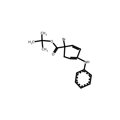 CC(C)(C)OC(=O)C1(Br)C=CC(Nc2ccccc2)=CC1